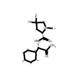 CC(=O)[C@@H](NC(=O)[C@@H]1CC(F)(F)CN1I)C1CCCCC1